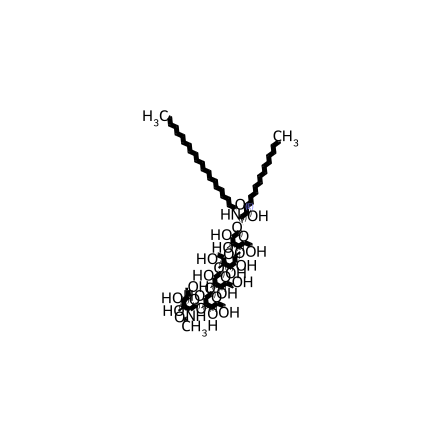 CCCCCCCCCCCCC/C=C/[C@@H](O)[C@H](CO[C@@H]1OC(CO)[C@@H](O[C@@H]2OC(CO)[C@H](O[C@@H]3OC(CO)[C@H](O)[C@H](O[C@H]4OC(CO)[C@H](O)[C@H](O[C@@H]5OC(CO)[C@H](O)[C@H](O)C5NC(C)=O)C4O)C3O)[C@H](O)C2O)[C@H](O)C1O)NC(=O)CCCCCCCCCCCCCCCCCCCCC